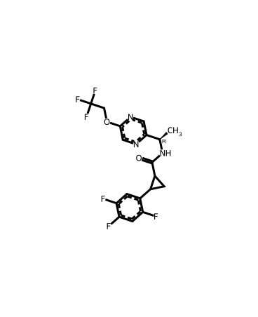 C[C@@H](NC(=O)C1CC1c1cc(F)c(F)cc1F)c1cnc(OCC(F)(F)F)cn1